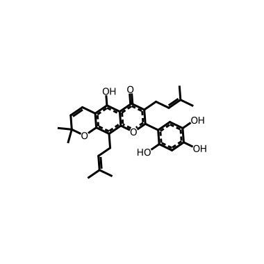 CC(C)=CCc1c(-c2cc(O)c(O)cc2O)oc2c(CC=C(C)C)c3c(c(O)c2c1=O)C=CC(C)(C)O3